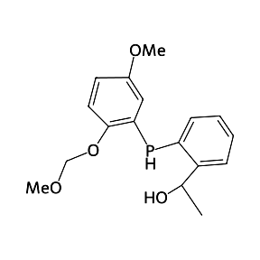 COCOc1ccc(OC)cc1Pc1ccccc1C(C)O